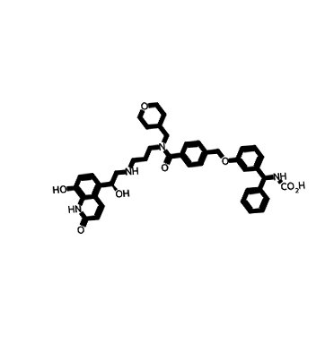 O=C(O)NC(c1ccccc1)c1cccc(OCc2ccc(C(=O)N(CCCNC[C@@H](O)c3ccc(O)c4[nH]c(=O)ccc34)CC3CCOCC3)cc2)c1